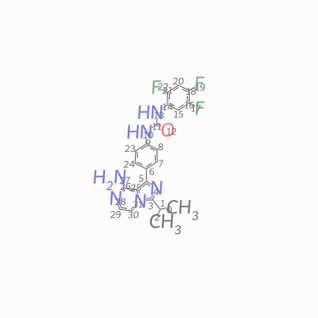 CC(C)c1nc(-c2ccc(NC(=O)Nc3cc(F)c(F)cc3F)cc2)c2c(N)nccn12